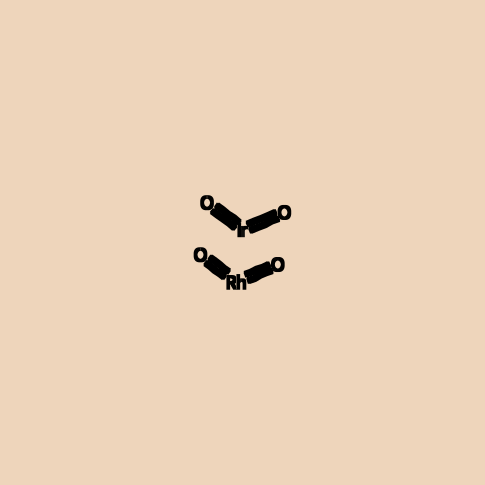 [O]=[Ir]=[O].[O]=[Rh]=[O]